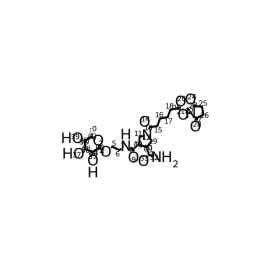 C[C@@H]1O[C@@H](OCCNC(=O)[C@H]2CN(C(=O)CCCCC(=O)ON3C(=O)CCC3=O)C[C@H]2C(N)=O)[C@@H](O)[C@H](O)[C@@H]1O